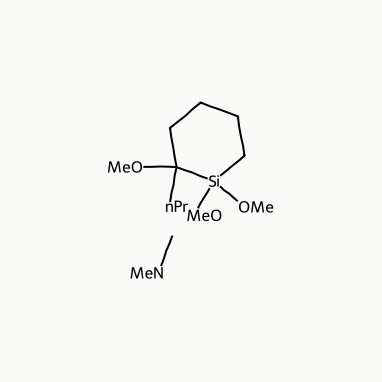 CCCC1(OC)CCCC[Si]1(OC)OC.CNC